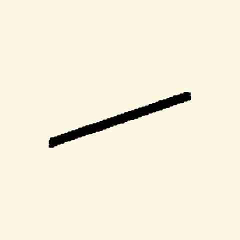 S=S=S=S=S=S=S=S=S=S=S=S=S=S=S=S=S=S=S=S=S=S=S=S=S=S=S=S=S=S=S=S=S=S=S=S=S=S=S=S=S=S=S=S=S=S=S=S=S=S=S=S=S=S=S=S=S=S=S=S=S=S=S=S=S=S=S=S=S=S=S=S=S=S=S=S=S=S=S